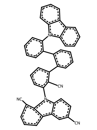 N#Cc1ccc2c(c1)c1cccc(C#N)c1n2-c1cccc(-c2ccccc2-c2ccccc2-n2c3ccccc3c3ccccc32)c1C#N